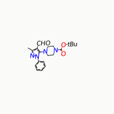 Cc1nn(-c2ccccc2)c(N2CCN(C(=O)OC(C)(C)C)CC2)c1C=O